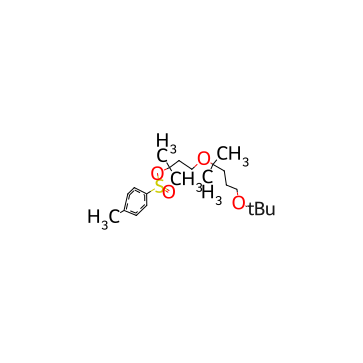 Cc1ccc(S(=O)OC(C)(C)CCOC(C)(C)CCCOC(C)(C)C)cc1